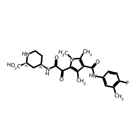 Cc1cc(NC(=O)c2c(C)c(C(=O)C(=O)N[C@@H]3CCN[C@H](C(=O)O)C3)n(C)c2C)ccc1F